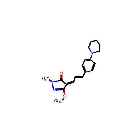 CN1N=C(OC=O)/C(=C/C=C/c2ccc(N3CCCCC3)cc2)C1=O